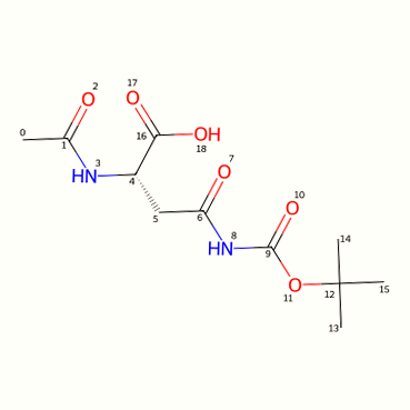 CC(=O)N[C@@H](CC(=O)NC(=O)OC(C)(C)C)C(=O)O